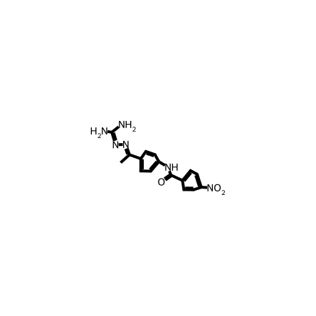 C/C(=N\N=C(N)N)c1ccc(NC(=O)c2ccc([N+](=O)[O-])cc2)cc1